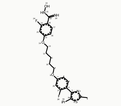 Cc1nc(-c2ccc(OCCCCCOc3ccc(C(=N)NO)c(F)c3)cc2F)c(C(C)C)s1